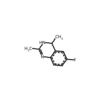 CC1=Nc2ccc(F)cc2C(C)N1